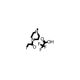 CN1CCN(C(=O)CI)CC1.O=C(O)C(F)(F)F